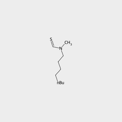 CCCCCCCCN(C)C=S